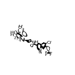 CC(C)(O)C(=O)N[C@H]1C[C@H](NC(=O)c2cnc3cc(OC(F)F)c(Cl)cc3c2)C1